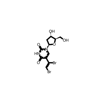 O=c1[nH]c(=O)n([C@H]2C[C@H](O)[C@@H](CO)O2)cc1C(Br)=CBr